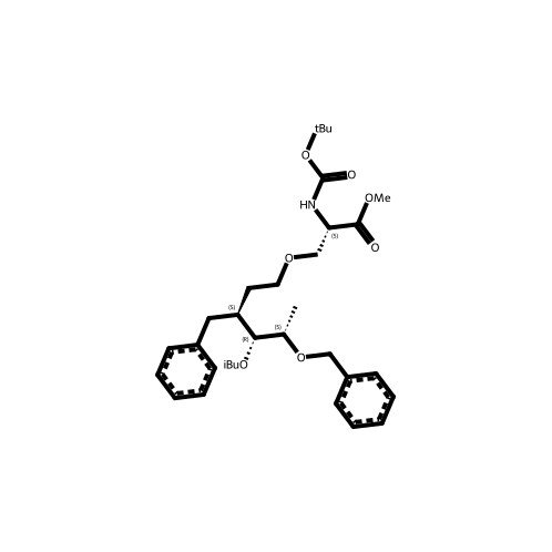 COC(=O)[C@H](COCC[C@H](Cc1ccccc1)[C@@H](OCC(C)C)[C@H](C)OCc1ccccc1)NC(=O)OC(C)(C)C